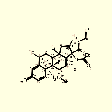 CCC(=O)O[C@]1(C(=O)SCF)[C@H](C)C[C@H]2[C@@H]3C[C@H](F)C4=CC(=O)C=C[C@]4(C)[C@@]3(F)[C@@H](OC(C)C)C[C@@]21C